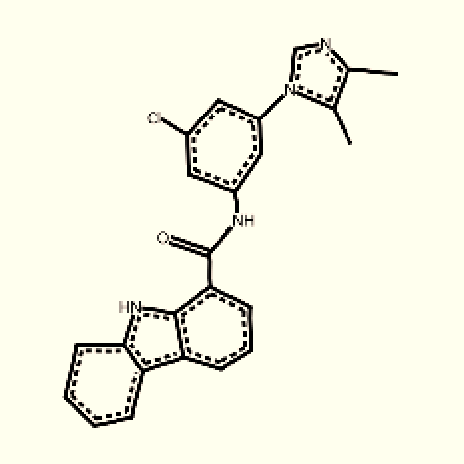 Cc1ncn(-c2cc(Cl)cc(NC(=O)c3cccc4c3[nH]c3ccccc34)c2)c1C